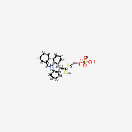 CSC(SCCCOS(=O)(=O)O)=C1c2ccccc2N(Cc2ccccc2)c2ccccc21